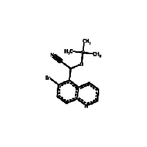 C[Si](C)(C)OC(C#N)c1c(Br)ccc2ncccc12